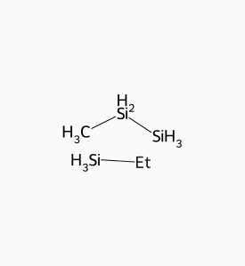 CC[SiH3].C[SiH2][SiH3]